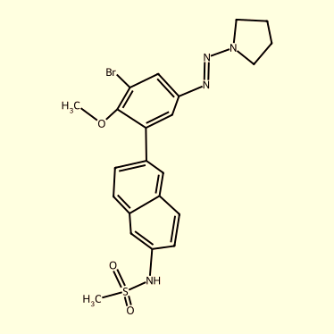 COc1c(Br)cc(/N=N/N2CCCC2)cc1-c1ccc2cc(NS(C)(=O)=O)ccc2c1